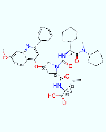 C=C[C@@H]1C[C@]1(NC(=O)[C@@H]1C[C@@H](Oc2cc(-c3ccccc3)nc3cc(OC)ccc23)CN1C(=O)N[C@H](C(=O)N(C)C1CCCCC1)C1CCCCC1)C(=O)O